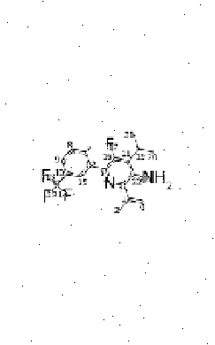 C=C(C)c1nc(-c2cccc(C(F)(F)F)c2)c(F)c(C(C)C)c1N